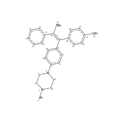 CC(C)N1CCN(c2ccc(/C(=C(\c3ccccc3)C(C)(C)C)c3ccc(O)cc3)cc2)CC1